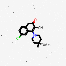 COC1(C)CCN(C2=C(C#N)C(=O)Cc3ccc(Cl)cc32)CC1